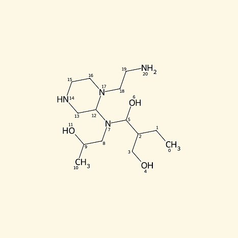 CCC(CO)C(O)N(CC(C)O)C1CNCCN1CCN